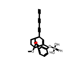 C#CC#CC#CC1C=C(C)C2CCCC1C21OOC1(OC)c1cccc(OP(O)(O)=P)c1